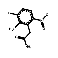 Cc1c(F)ccc([N+](=O)[O-])c1CC(N)=O